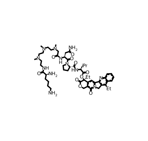 CCc1c2c(nc3ccccc13)-c1cc3c(c(=O)n1C2)COC(=O)[C@@]3(CC)OC(=O)[C@@H](NC(=O)[C@@H]1CCCN1C(=O)[C@H](CC(N)=O)NC(=O)CN(C)CCN(C)CCN(C)CCNC(=O)[C@@H](N)CCCCN)C(C)C